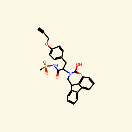 C#CCOc1ccc(CC(C(=O)NS(C)(=O)=O)N(CC2c3ccccc3-c3ccccc32)C(=O)O)cc1